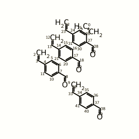 C=C.C=Cc1ccc(C=O)cc1.C=Cc1ccc(C=O)cc1.C=Cc1ccc(C=O)cc1.C=Cc1ccc(C=O)cc1